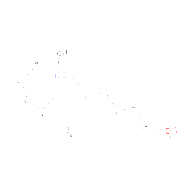 C[N+]1(CCCCCCO)CCCCC1.[Cl-]